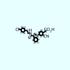 N#Cc1cc(-n2nc(C(=O)NCCc3ccc(Cl)cc3)c3ccccc32)ccc1CC(=O)O